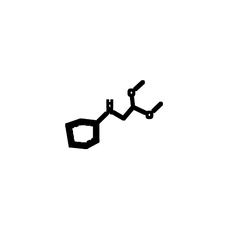 COC(CNc1ccccc1)OC